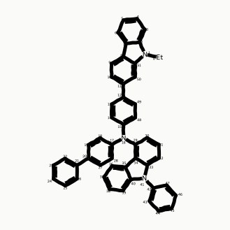 CCn1c2ccccc2c2ccc(-c3ccc(N(c4ccc(-c5ccccc5)cc4)c4cccc5c4c4ccccc4n5-c4ccccc4)cc3)cc21